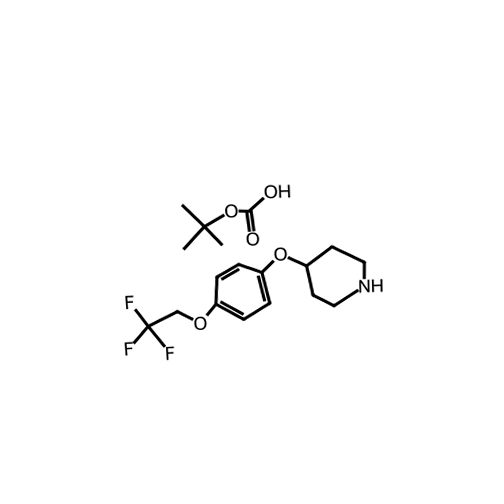 CC(C)(C)OC(=O)O.FC(F)(F)COc1ccc(OC2CCNCC2)cc1